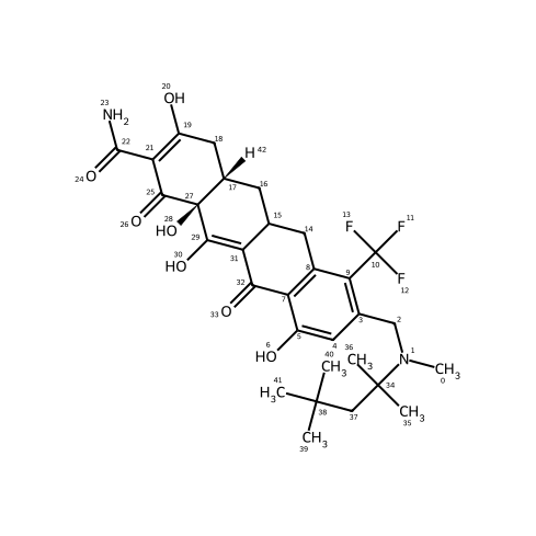 CN(Cc1cc(O)c2c(c1C(F)(F)F)CC1C[C@H]3CC(O)=C(C(N)=O)C(=O)[C@@]3(O)C(O)=C1C2=O)C(C)(C)CC(C)(C)C